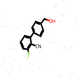 N#Cc1c(F)cccc1-c1ccc(CO)cc1